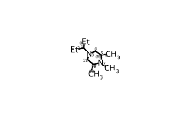 CCC(CC)N1C[C@@H](C)N(C)[C@@H](C)C1